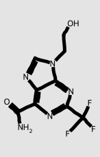 NC(=O)c1nc(C(F)(F)F)nc2c1ncn2CCO